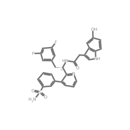 NS(=O)(=O)c1cccc(-c2cccnc2[C@H](Cc2cc(F)cc(F)c2)NC(=O)Cc2c[nH]c3ccc(O)cc23)c1